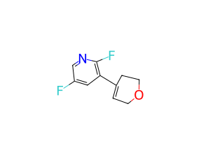 Fc1cnc(F)c(C2=CCOCC2)c1